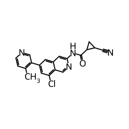 Cc1ccncc1-c1cc(Cl)c2cnc(NC(=O)C3CC3C#N)cc2c1